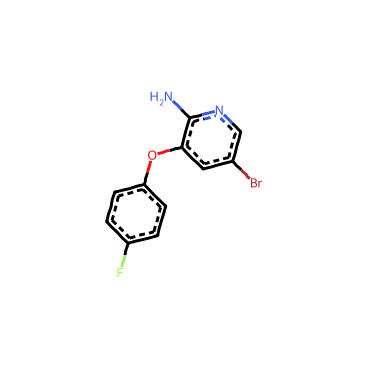 Nc1ncc(Br)cc1Oc1ccc(F)cc1